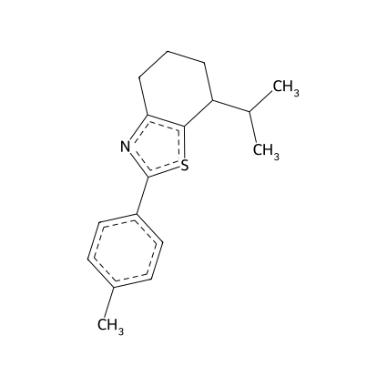 Cc1ccc(-c2nc3c(s2)C(C(C)C)CCC3)cc1